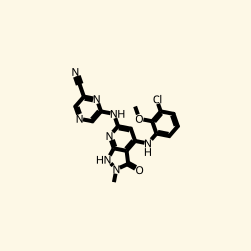 COc1c(Cl)cccc1Nc1cc(Nc2cncc(C#N)n2)nc2[nH]n(C)c(=O)c12